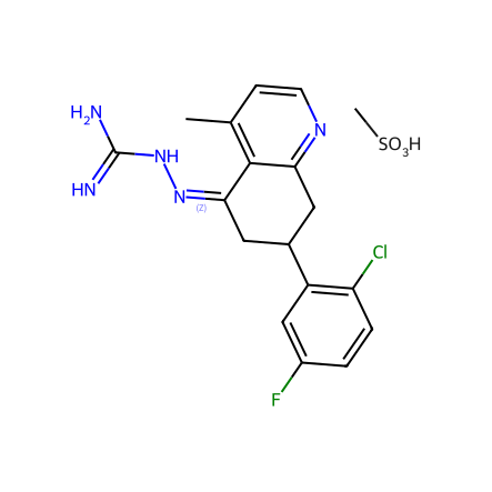 CS(=O)(=O)O.Cc1ccnc2c1/C(=N\NC(=N)N)CC(c1cc(F)ccc1Cl)C2